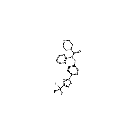 O=C(N1CCOCC1)N(Cc1ccc(-c2nnc(C(F)(F)F)o2)cc1)c1ncccn1